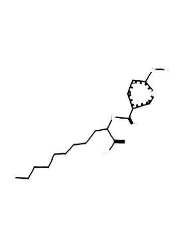 CCCCCCCCCC(NC(=O)c1ccc(NN)nc1)C(=O)O